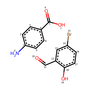 Nc1ccc(C(=O)O)cc1.O=Cc1cc(Br)ccc1O